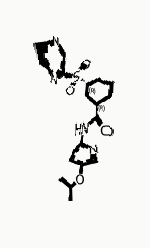 CC(C)Oc1ccc(NC(=O)[C@@H]2CCC[C@@H](S(=O)(=O)c3cnccn3)C2)nc1